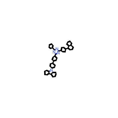 c1ccc(-c2nc(-c3ccc(-c4ccc(-n5c6ccccc6c6ccccc65)cc4)cc3)nc(-c3ccc(-c4cccc5ccccc45)cc3)n2)cc1